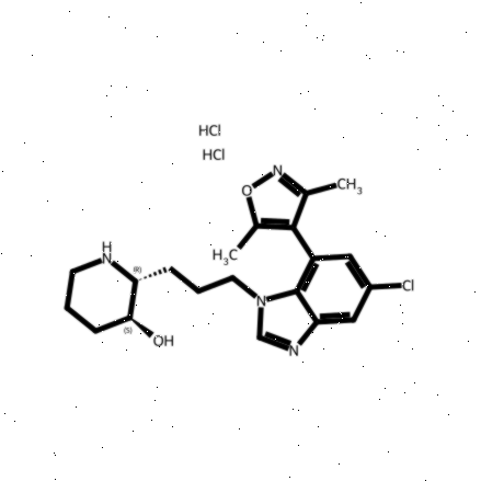 Cc1noc(C)c1-c1cc(Cl)cc2ncn(CCC[C@H]3NCCC[C@@H]3O)c12.Cl.Cl